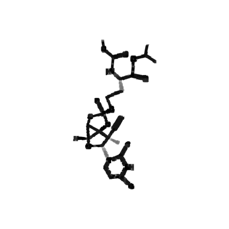 C#C[C@@]1(C)[C@H](n2ccc(=O)[nH]c2=O)O[C@@H]2C3O[P@@](=O)(OCC[C@H](NC(=O)OC)C(=O)OC(C)C)O[C@]321